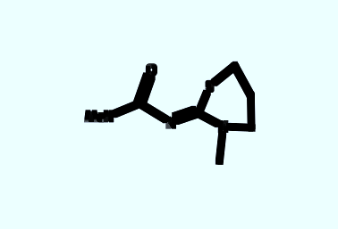 CNC(=O)/N=C1\SCCCN1C